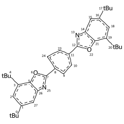 CC(C)(C)c1cc(C(C)(C)C)c2oc(-c3ccc(-c4nc5cc(C(C)(C)C)cc(C(C)(C)C)c5o4)cc3)nc2c1